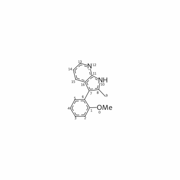 COc1ccccc1-c1c(C)[nH]c2ncccc12